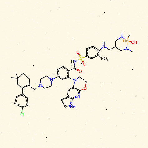 CN1CC(CNc2ccc(S(=O)(=O)NC(=O)c3ccc(N4CCN(CC5=C(c6ccc(Cl)cc6)CC(C)(C)CC5)CC4)cc3N3CCOc4nc5[nH]ccc5cc43)cc2[N+](=O)[O-])CN(C)[PH]1(C)O